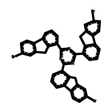 Brc1ccc2c(c1)Cc1c(-c3nc(-c4cccc5c4Cc4cc(Br)ccc4-5)nc(-c4cccc5c4Cc4cc(Br)ccc4-5)n3)cccc1-2